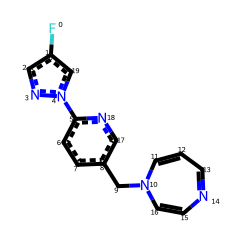 Fc1cnn(-c2ccc(CN3C=CC=NC=C3)cn2)c1